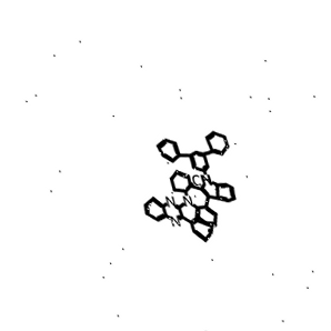 CC12C=CCCC1N(c1nc3ccccc3nc1-c1ccccc1)c1ccccc1-c1c2n(-c2cc(C3=CCCC=C3)cc(-c3ccccc3)c2)c2ccccc12